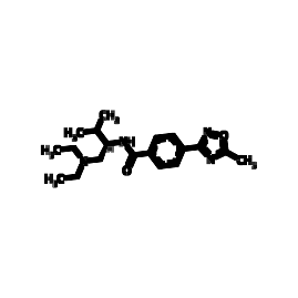 CCN(CC)C[C@H](NC(=O)c1ccc(-c2noc(C)n2)cc1)C(C)C